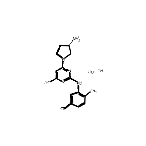 CCCc1cc(N2CC[C@H](N)C2)nc(Nc2cc(Cl)ccc2C)n1.Cl.Cl